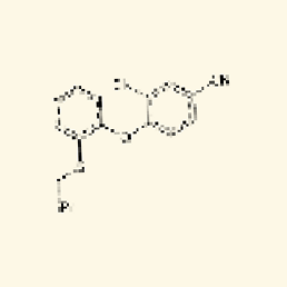 CC(C)CSc1ccccc1Oc1ccc(C#N)cc1Cl